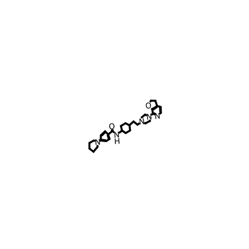 O=C(NC1CCC(CCN2CCN(c3nccc4c3OCC4)CC2)CC1)c1ccc(N2CCCCC2)cc1